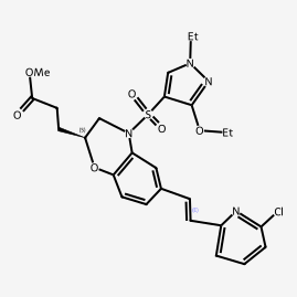 CCOc1nn(CC)cc1S(=O)(=O)N1C[C@H](CCC(=O)OC)Oc2ccc(/C=C/c3cccc(Cl)n3)cc21